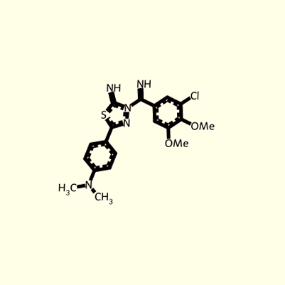 COc1cc(C(=N)n2nc(-c3ccc(N(C)C)cc3)sc2=N)cc(Cl)c1OC